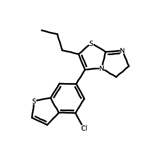 CCCC1=C(c2cc(Cl)c3ccsc3c2)N2CCN=C2S1